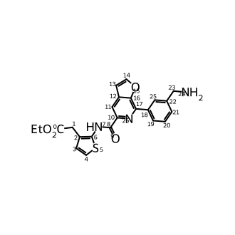 CCOC(=O)Cc1ccsc1NC(=O)c1cc2ccoc2c(-c2cccc(CN)c2)n1